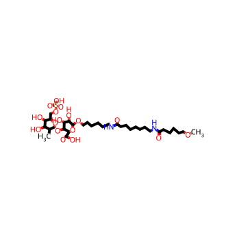 COCCCCCC(=O)NCCCCCCCC(=O)NCCCCCCOC1OC(C(=O)O)C(OC2OC(COS(=O)(=O)O)C(O)C(O)C2C)C(O)C1O